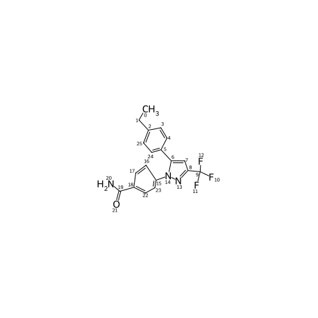 CCc1ccc(-c2cc(C(F)(F)F)nn2-c2ccc(C(N)=O)cc2)cc1